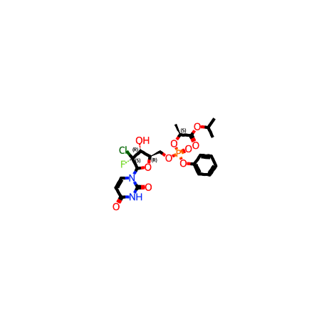 CC(C)OC(=O)[C@H](C)OP(=O)(OC[C@H]1OC(n2ccc(=O)[nH]c2=O)[C@@](F)(Cl)[C@@H]1O)Oc1ccccc1